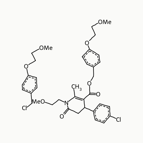 COCCOc1ccc(CCl)cc1.COCCOc1ccc(COC(=O)C2=C(C)N(CCOC)C(=O)CC2c2ccc(Cl)cc2)cc1